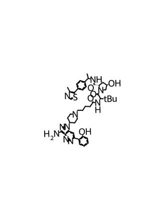 Cc1ncsc1-c1ccc(C(C)NC(=O)[C@@H]2C[C@@H](O)CN2C(=O)C(NC(=O)CCCCN2CCC(n3nc(N)c4nnc(-c5ccccc5O)cc43)CC2)C(C)(C)C)cc1